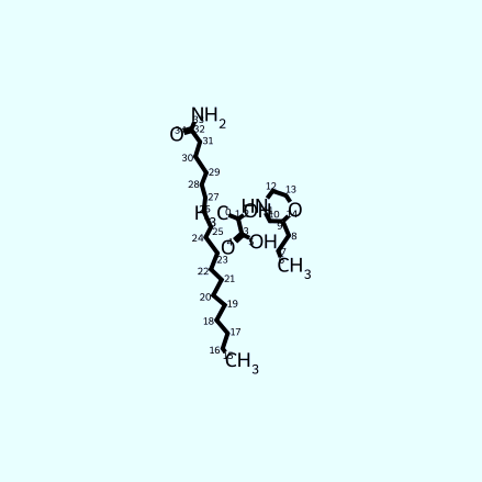 CC(O)C(=O)O.CCCC1CNCCO1.CCCCCCCCCCCCCCCCCC(N)=O